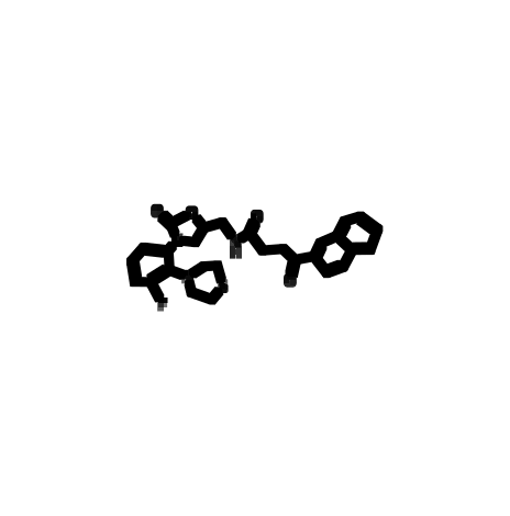 O=C(CCC(=O)c1ccc2ccccc2c1)NCC1CN(c2cccc(F)c2N2CCSCC2)C(=O)O1